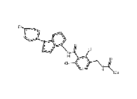 CC(C)(C)C(=O)NCc1ccc(Cl)c(C(=O)Nc2cccc3c2cnn3-c2ccc(Cl)cc2)c1Cl